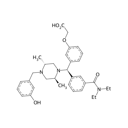 CCN(CC)C(=O)c1cccc([C@H](c2cccc(OCC(=O)O)c2)N2C[C@@H](C)N(Cc3cccc(O)c3)C[C@@H]2C)c1